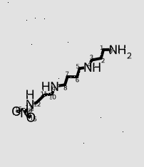 NCCCNCCCCNCCCN[N+](=O)[O-]